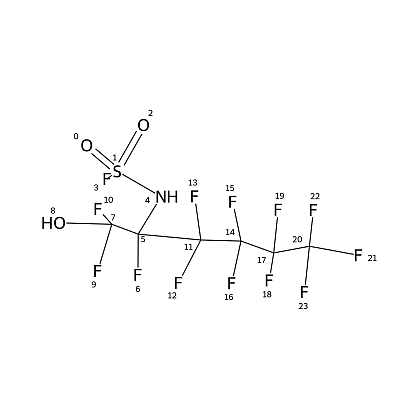 O=S(=O)(F)NC(F)(C(O)(F)F)C(F)(F)C(F)(F)C(F)(F)C(F)(F)F